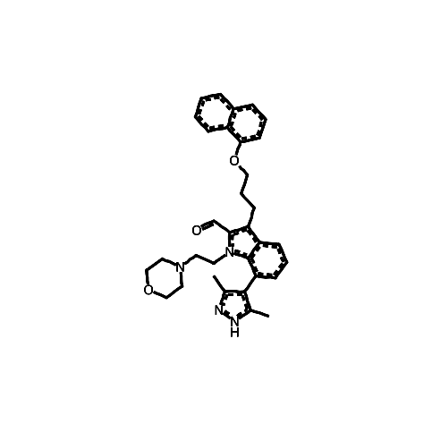 Cc1n[nH]c(C)c1-c1cccc2c(CCCOc3cccc4ccccc34)c(C=O)n(CCN3CCOCC3)c12